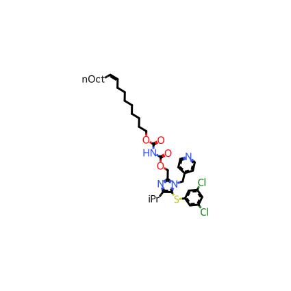 CCCCCCCC/C=C\CCCCCCCCOC(=O)NC(=O)OCc1nc(C(C)C)c(Sc2cc(Cl)cc(Cl)c2)n1Cc1ccncc1